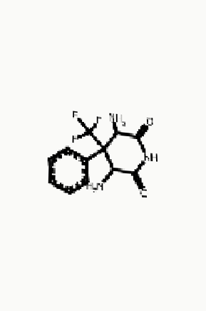 NC1C(=O)NC(=O)C(N)C1(c1ccccc1)C(F)(F)F